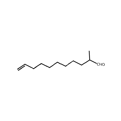 C=CCCCCCCCC(C)C=O